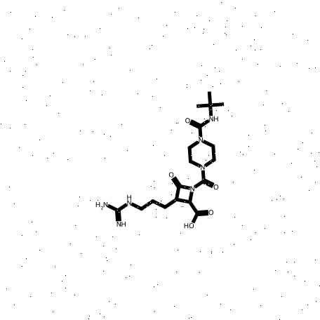 CC(C)(C)NC(=O)N1CCN(C(=O)N2C(=O)C(CCCNC(=N)N)C2C(=O)O)CC1